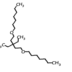 CCCCCCCOCCC(CC)(CC)CCOCCCCCCC